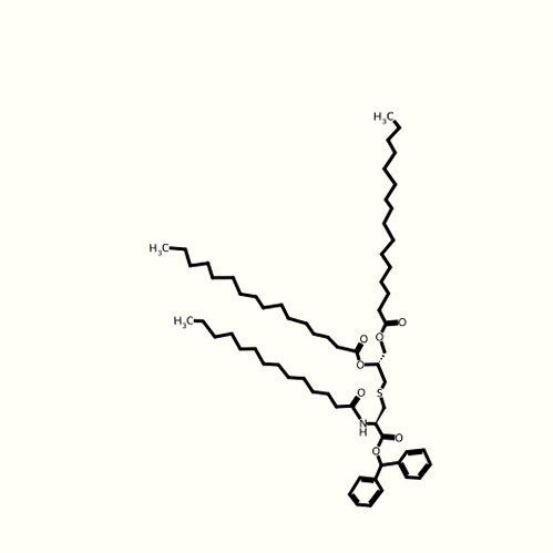 CCCCCCCCCCCCCCCC(=O)OC[C@H](CSC[C@H](NC(=O)CCCCCCCCCCCCC)C(=O)OC(c1ccccc1)c1ccccc1)OC(=O)CCCCCCCCCCCCCCC